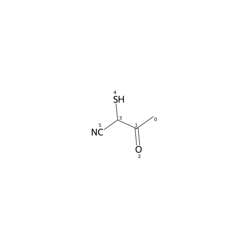 CC(=O)C(S)C#N